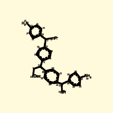 CCCCCCCCCCCC(c1ccc(C(CCC)c2ccc(N)cc2)cc1)c1ccc(C(CCC)c2ccc(N)cc2)cc1